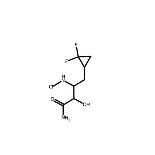 NC(=O)C(O)C(CC1CC1(F)F)NCl